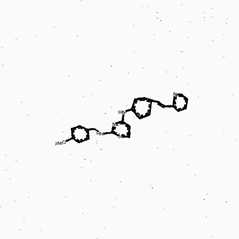 COc1ccc(CNc2nccc(Nc3ccc(C=Cc4ccccn4)cc3)n2)cc1